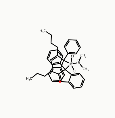 CCCCC1=Cc2ccccc2[C]1(c1ccccc1)[Hf]([Cl])([Cl])([SiH](C)C)[C]1(c2ccccc2)C(CCCC)=Cc2ccccc21